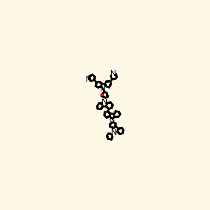 c1ccc(-n2c3ccccc3c3cc(-n4c5ccccc5c5c(-c6cccc7c6c6ccccc6n7-c6ccc(-n7c8ccc(-c9cccnc9)cc8c8cc(-c9cccnc9)ccc87)cc6)cccc54)ccc32)cc1